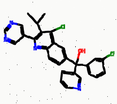 CC(C)c1c(-c2cncnc2)nc2ccc(C(O)(c3cccnc3)c3cccc(Cl)c3)cc2c1Cl